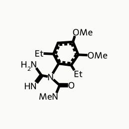 CCc1cc(OC)c(OC)c(CC)c1N(C(=N)N)C(=O)NC